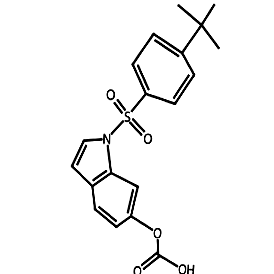 CC(C)(C)c1ccc(S(=O)(=O)n2ccc3ccc(OC(=O)O)cc32)cc1